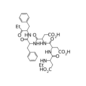 CCNC(CC(=O)O)C(=O)NC(CC(=O)O)C(=O)NC(CC(=O)O)C(=O)NC(Cc1ccccc1)C(=O)NC(Cc1ccccc1)C(=O)CC